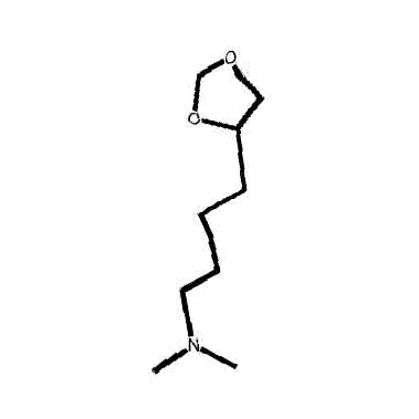 CN(C)CCCCC1COCO1